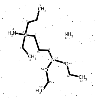 CCC[Si](N)(CC)CCCN(OCC)OCC.N